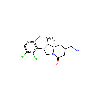 NCC1CC(=O)N2C[C@@H](c3c(O)ccc(Cl)c3Cl)C(C(=O)O)[C@H]2C1